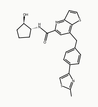 Cc1nc(-c2ccc(Cc3cc(C(=O)N[C@@H]4CCC[C@H]4O)nc4ccsc34)cc2)cs1